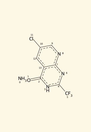 N.O=c1[nH]c(C(F)(F)F)nc2ncc(Cl)cc12